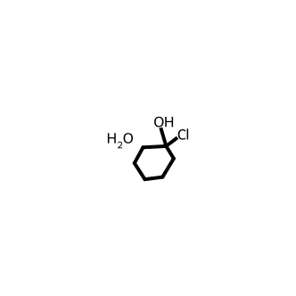 O.OC1(Cl)CCCCC1